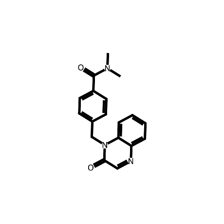 CN(C)C(=O)c1ccc(Cn2c(=O)cnc3ccccc32)cc1